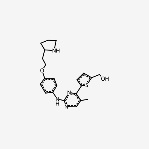 Cc1cnc(Nc2ccc(OCCC3CCCN3)cc2)nc1-c1ccc(CO)s1